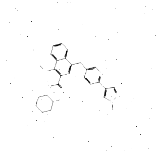 COc1c(C(=O)N[C@H]2CCCC[C@@H]2O)cc(Cc2ccc(-c3cnn(C)c3)nc2)c2ccccc12